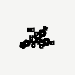 CCC1C(C(=O)NN2CC3CCCC3C2)=NN(c2ccc(Cl)cc2Cl)C1c1ccc(Br)cc1.Cl